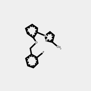 Cc1ccn(-c2ccccc2OCc2ccccc2F)n1